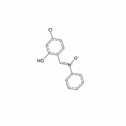 [O-]/[N+](=C\c1ccc(Cl)cc1O)c1ccccc1